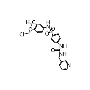 Cc1cc(NS(=O)(=O)c2ccc(NC(=O)NCc3cccnc3)cc2)ccc1OCCl